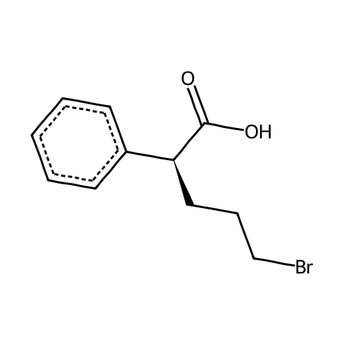 O=C(O)[C@@H](CCCBr)c1ccccc1